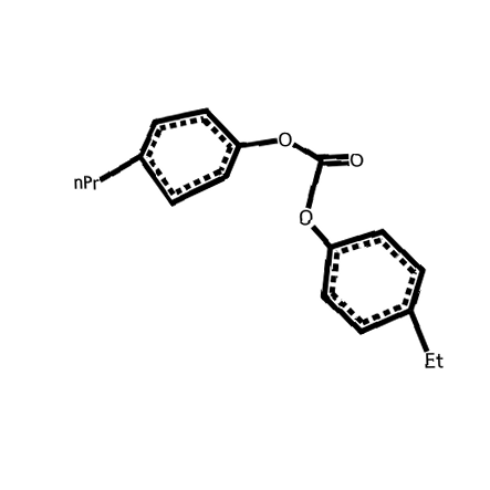 CCCc1ccc(OC(=O)Oc2ccc(CC)cc2)cc1